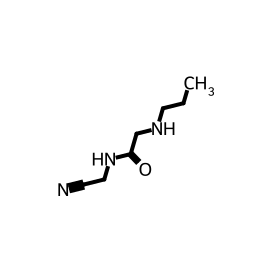 CCCNCC(=O)NCC#N